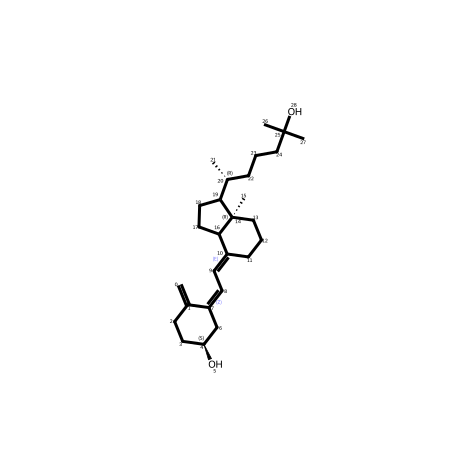 C=C1CC[C@H](O)C/C1=C/C=C1\CCC[C@@]2(C)C1CCC2[C@H](C)CCCC(C)(C)O